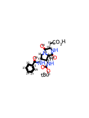 CC(C)(C)OC(=O)N[C@H]1[C@H]2C(=O)N[C@@H](CC(=O)O)C(=O)N2C[C@H]1NC(=O)c1ccccc1